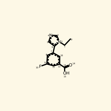 CCn1cncc1-c1cc(F)cc(C(=O)O)c1